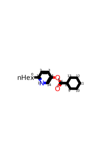 CCCCCCc1ccc(OC(=O)C2CCCCC2)cn1